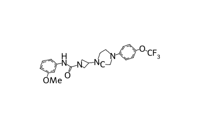 COc1cccc(NC(=O)N2CC(N3CCN(c4ccc(OC(F)(F)F)cc4)CC3)C2)c1